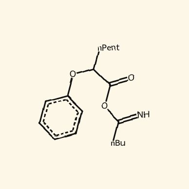 CCCCCC(Oc1ccccc1)C(=O)OC(=N)CCCC